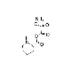 NOC(=O)C(=O)OC(=O)[C@@H]1CCCCN1